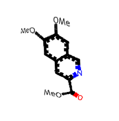 COC(=O)c1cc2cc(OC)c(OC)cc2cn1